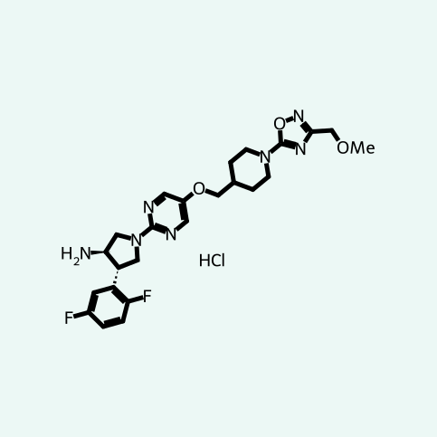 COCc1noc(N2CCC(COc3cnc(N4C[C@H](c5cc(F)ccc5F)[C@@H](N)C4)nc3)CC2)n1.Cl